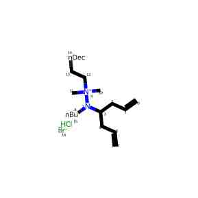 C=CCC(CC=C)N(CCCC)[N+](C)(C)CCCCCCCCCCCC.Cl.[Br-]